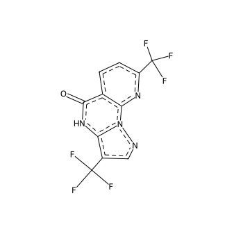 O=c1[nH]c2c(C(F)(F)F)cnn2c2nc(C(F)(F)F)ccc12